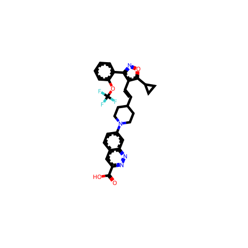 O=C(O)c1cc2ccc(N3CCC(/C=C/c4c(-c5ccccc5OC(F)(F)F)noc4C4CC4)CC3)cc2nn1